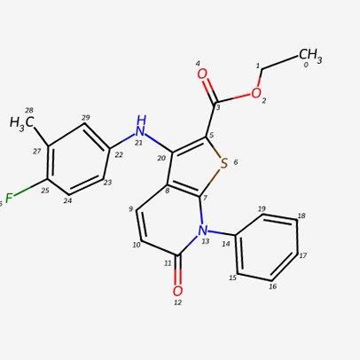 CCOC(=O)c1sc2c(ccc(=O)n2-c2ccccc2)c1Nc1ccc(F)c(C)c1